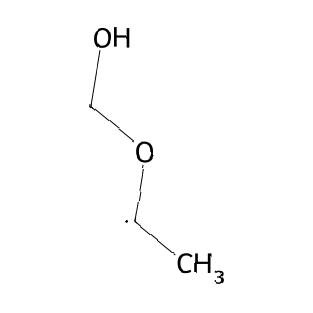 C[CH]OCO